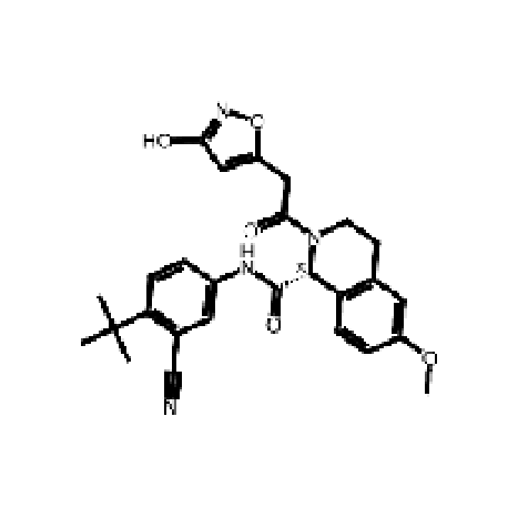 COc1ccc2c(c1)CCN(C(=O)Cc1cc(O)no1)[C@H]2C(=O)Nc1ccc(C(C)(C)C)c(C#N)c1